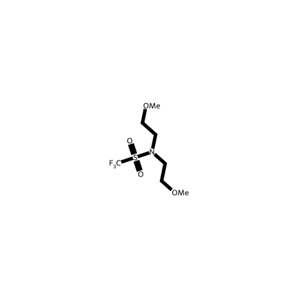 COCCN(CCOC)S(=O)(=O)C(F)(F)F